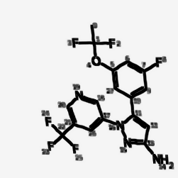 CC(F)(F)Oc1cc(F)cc(-c2cc(N)nn2-c2cncc(C(F)(F)F)c2)c1